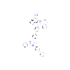 CN1c2c3c(c4ccccc4c2N(c2ccc(-c4ccc(C5N=C(c6ccccc6)N=C(c6ccc(-c7ccccc7)cc6)N5)cc4)cc2)C1C1C=CC=CN1)C1CN1C3